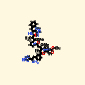 CC[C@H](Cc1cccc(C[C@H](N)c2nn[nH]n2)c1)[C@@H]([C@@H](CC(=O)N1CCC[C@H]1[C@H](OC)[C@@H](C)C(=O)N[C@@H](Cc1ccccc1)c1nnn[nH]1)OC)N(C)C(=O)[C@@H](NC(=O)OC(C)(C)C)C(C)C